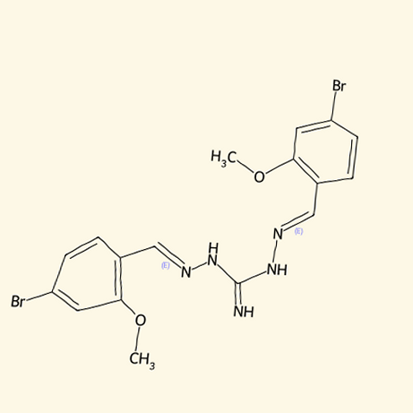 COc1cc(Br)ccc1/C=N/NC(=N)N/N=C/c1ccc(Br)cc1OC